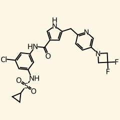 O=C(Nc1cc(Cl)cc(NS(=O)(=O)C2CC2)c1)c1c[nH]c(Cc2ccc(N3CC(F)(F)C3)cn2)c1